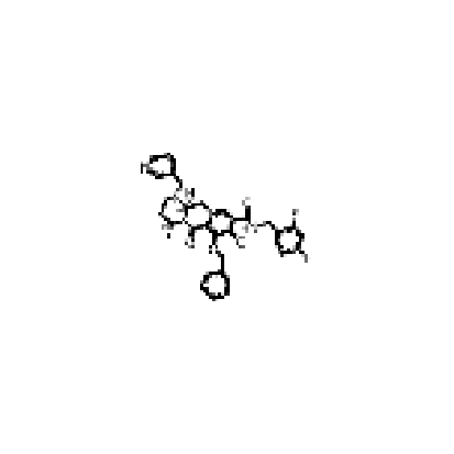 C[C@H]1CCN(Cc2cccnc2)[C@@H]2Cn3cc(C(=O)NCc4ccc(F)cc4F)c(=O)c(OCc4ccccc4)c3C(=O)N12